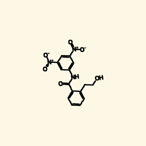 O=C(Nc1cc([N+](=O)[O-])cc([N+](=O)[O-])c1)c1ccccc1CCO